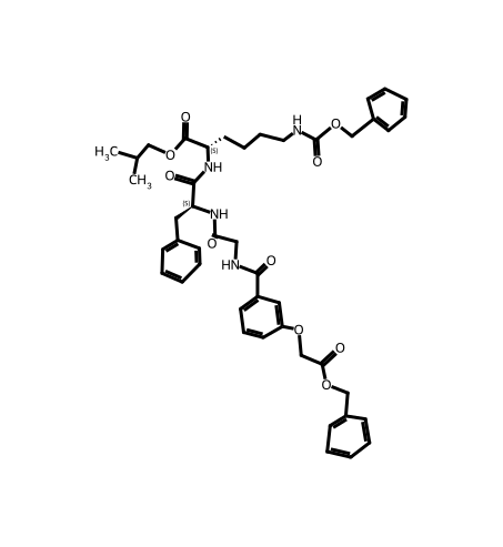 CC(C)COC(=O)[C@H](CCCCNC(=O)OCc1ccccc1)NC(=O)[C@H](Cc1ccccc1)NC(=O)CNC(=O)c1cccc(OCC(=O)OCc2ccccc2)c1